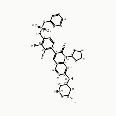 O=c1c(-c2ccc(NS(=O)(=O)Cc3ccccc3)c(F)c2F)cc2cnc(N[C@@H]3CNC[C@@H](F)C3)nc2n1C1CCCC1